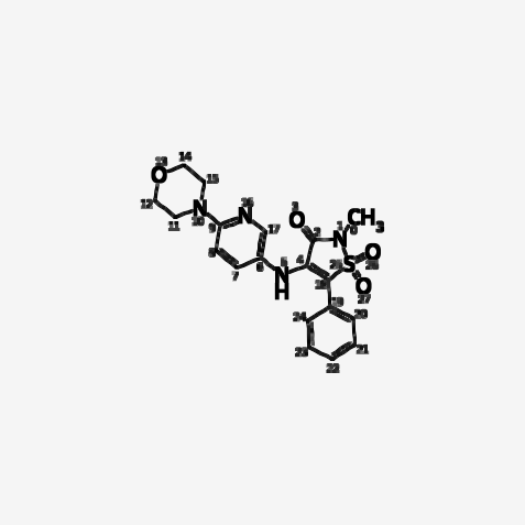 CN1C(=O)C(Nc2ccc(N3CCOCC3)nc2)=C(c2ccccc2)S1(=O)=O